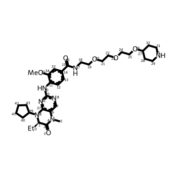 CC[C@@H]1C(=O)N(C)c2cnc(Nc3ccc(C(=O)NCCOCCOCCOC4CCNCC4)cc3OC)nc2N1C1CCCC1